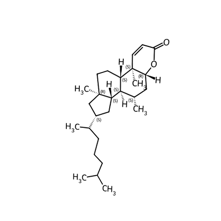 CC(C)CCCC(C)[C@H]1C[C@H]2[C@@H]3[C@@H](C)C[C@H]4OC(=O)C=C[C@]4(C)[C@H]3CC[C@]2(C)C1